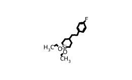 CCO[Si]1(OCC)CCC(CCc2ccc(F)cc2)CC1